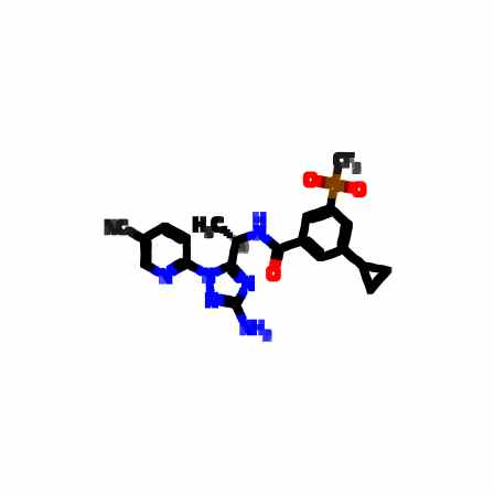 C[C@H](NC(=O)c1cc(C2CC2)cc(S(=O)(=O)C(F)(F)F)c1)c1nc(N)nn1-c1ccc(C#N)cn1